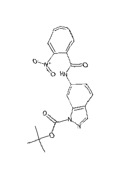 CC(C)(C)OC(=O)n1ncc2ccc(NC(=O)c3ccccc3[N+](=O)[O-])cc21